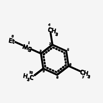 C[CH2][Mg][c]1c(C)cc(C)cc1C